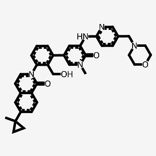 Cn1cc(-c2cccc(-n3ccc4cc(C5(C)CC5)ccc4c3=O)c2CO)cc(Nc2ccc(CN3CCOCC3)cn2)c1=O